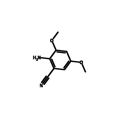 COc1cc(C#N)c(N)c(OC)c1